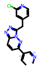 C/C=C(\C=N/C)c1ccc2nnc(Cc3ccnc(Cl)c3)n2n1